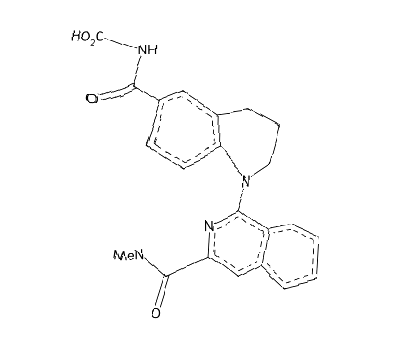 CNC(=O)c1cc2ccccc2c(N2CCCc3cc(C(=O)NC(=O)O)ccc32)n1